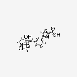 CN1CC[C@@](O)(C#Cc2cccc(-c3csc(C(=O)O)n3)c2)C1=O